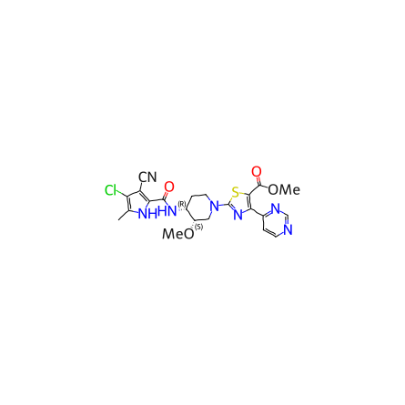 COC(=O)c1sc(N2CC[C@@H](NC(=O)c3[nH]c(C)c(Cl)c3C#N)[C@@H](OC)C2)nc1-c1ccncn1